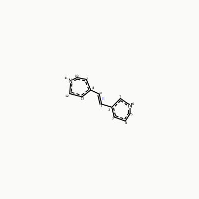 C(=C\c1cccnc1)/c1ccncc1